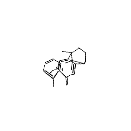 C=C(/C=C1\C(=C/NC)C2(C)CCC1C2(C)C)c1ccccc1C